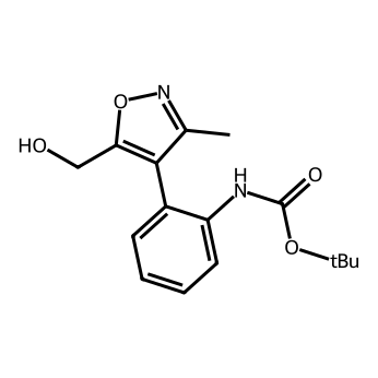 Cc1noc(CO)c1-c1ccccc1NC(=O)OC(C)(C)C